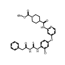 CC(C)(C)OC(=O)N1CCC(C(=O)Nc2cc(Oc3ccc(NC(=S)NC(=O)Cc4ccccc4)c(Cl)c3)ccn2)CC1